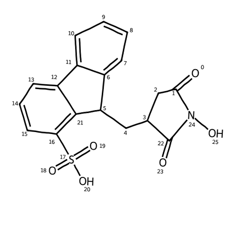 O=C1CC(CC2c3ccccc3-c3cccc(S(=O)(=O)O)c32)C(=O)N1O